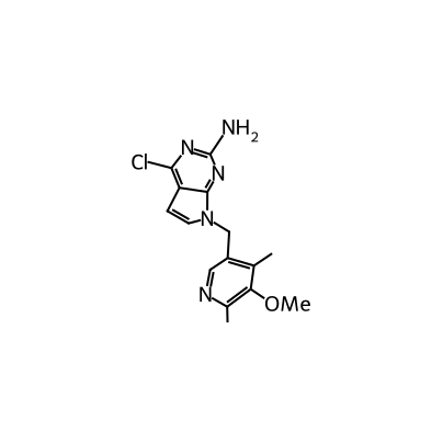 COc1c(C)ncc(Cn2ccc3c(Cl)nc(N)nc32)c1C